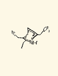 Cc1[nH]c(C(F)(F)F)cc1C#N